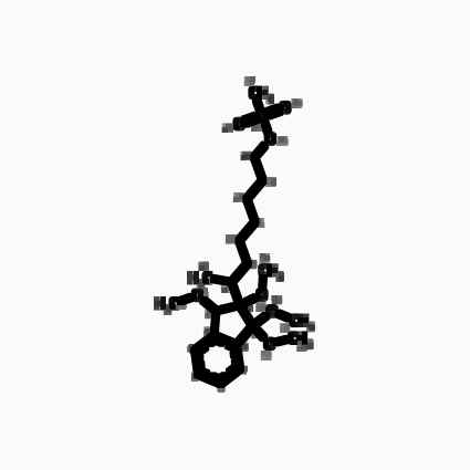 COC1c2ccccc2C(OC)(OC)C1(OC)C(C)CCCCCCOS(C)(=O)=O